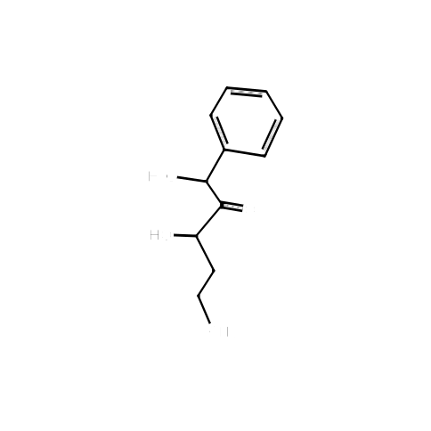 CCCC(O)C(=O)C(C)c1ccccc1